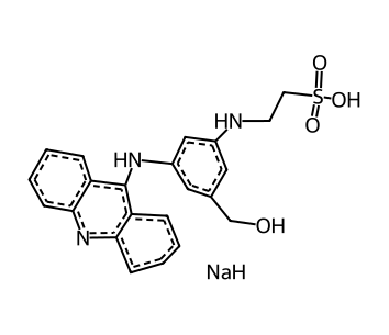 O=S(=O)(O)CCNc1cc(CO)cc(Nc2c3ccccc3nc3ccccc23)c1.[NaH]